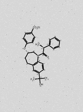 CCOC(=O)c1ccc(O[C@H]2CCc3cc(C(O)(C(F)(F)F)C(F)(F)F)ccc3N(C(=O)[C@@H](C)c3ccccc3)C2)cc1